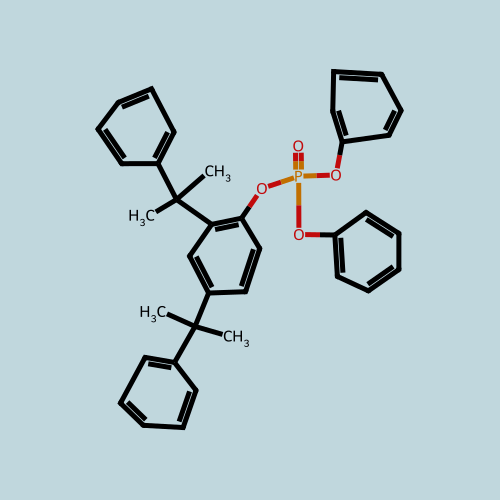 CC(C)(c1ccccc1)c1ccc(OP(=O)(Oc2ccccc2)Oc2ccccc2)c(C(C)(C)c2ccccc2)c1